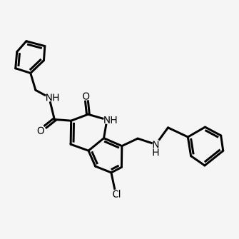 O=C(NCc1ccccc1)c1cc2cc(Cl)cc(CNCc3ccccc3)c2[nH]c1=O